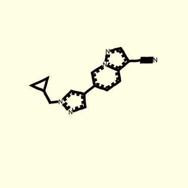 N#Cc1cnn2cc(-c3cnn(CC4CC4)c3)ccc12